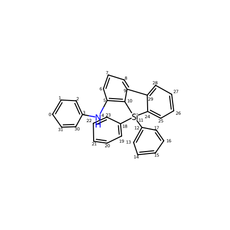 c1ccc(Nc2cccc3c2[Si](c2ccccc2)(c2ccccc2)c2ccccc2-3)cc1